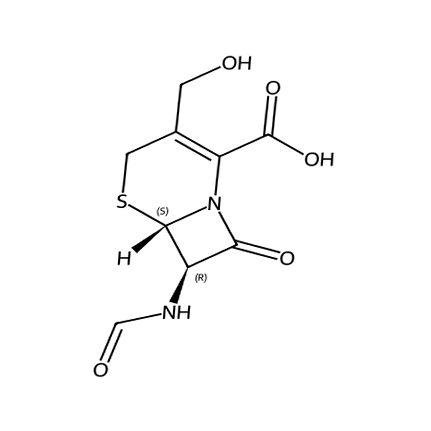 O=CN[C@@H]1C(=O)N2C(C(=O)O)=C(CO)CS[C@@H]12